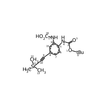 CC(C)(C)OC(=O)Nc1ccc(C#C[Si](C)(C)C)cc1NC(=O)O